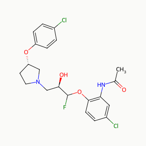 CC(=O)Nc1cc(Cl)ccc1OC(F)[C@H](O)CN1CC[C@H](Oc2ccc(Cl)cc2)C1